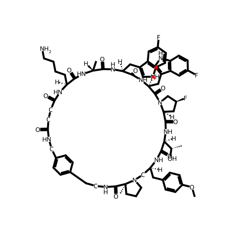 COc1ccc(C[C@H]2CN3CCC[C@@]3(C)C(=O)NCCc3ccc(cc3)CNC(=O)CCC(=O)N[C@@H](CCCCN)C(=O)N[C@H](C)C(=O)N[C@@H](Cc3c[nH]c4ccc(F)cc34)C(=O)N[C@@H](Cc3c[nH]c4ccc(F)cc34)C(=O)N3C[C@@H](F)C[C@H]3C(=O)N[C@@H]([C@H](C)O)C(=O)N2)cc1